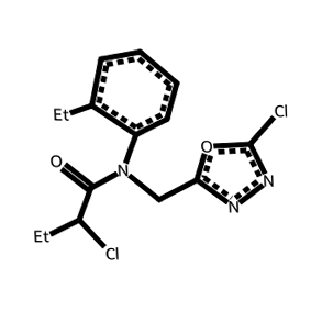 CCc1ccccc1N(Cc1nnc(Cl)o1)C(=O)C(Cl)CC